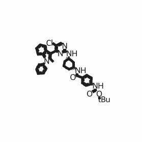 Cc1c(-c2nc(N[C@@H]3CCC[C@H](NC(=O)c4ccc(NC(=O)OC(C)(C)C)cc4)C3)ncc2Cl)c2ccccc2n1-c1ccccc1